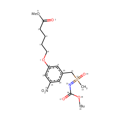 COC(=O)CCCCOc1cc(CS(C)(=O)=NC(=O)OC(C)(C)C)cc([N+](=O)[O-])c1